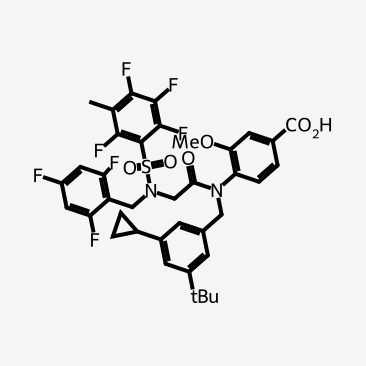 COc1cc(C(=O)O)ccc1N(Cc1cc(C2CC2)cc(C(C)(C)C)c1)C(=O)CN(Cc1c(F)cc(F)cc1F)S(=O)(=O)c1c(F)c(C)c(F)c(F)c1F